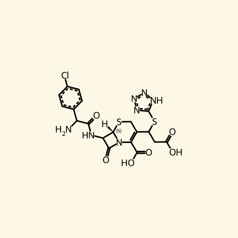 NC(C(=O)NC1C(=O)N2C(C(=O)O)=C(C(CC(=O)O)Sc3nnn[nH]3)CS[C@@H]12)c1ccc(Cl)cc1